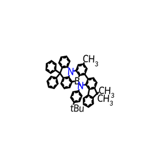 Cc1cc2c3c(c1)N1c4ccccc4C(c4ccccc4)(c4ccccc4)c4cccc(c41)B3N(c1ccc(C(C)(C)C)cc1)c1c-2ccc2c1-c1ccccc1C2(C)C